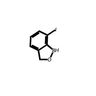 Ic1cccc2c1BOC2